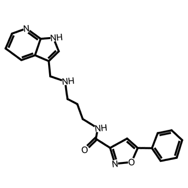 O=C(NCCCNCc1c[nH]c2ncccc12)c1cc(-c2ccccc2)on1